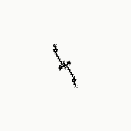 CC(=O)/C=C/c1ccc(OCCCCCCCCN2C(=O)C3=C(c4cccs4)N(CCCCCCCCOc4ccc(/C=C/C(C)=O)cc4)C(=O)C3=C2c2cccs2)cc1